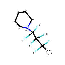 FC(F)(F)C(F)(F)C(F)(F)C(F)(F)N1CCCCC1